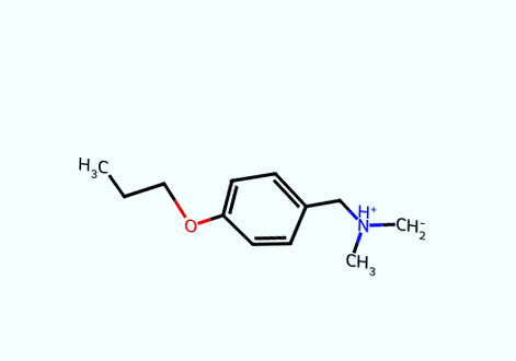 [CH2-][NH+](C)Cc1ccc(OCCC)cc1